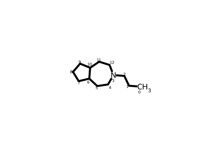 CCCN1CCC2CCCC2CC1